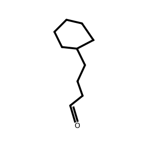 O=CCCC[C]1CCCCC1